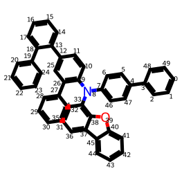 c1ccc(-c2ccc(N(c3ccc(-c4ccccc4-c4ccccc4)cc3-c3ccccc3)c3cccc4c3oc3ccccc34)cc2)cc1